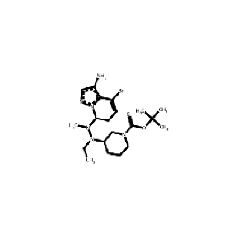 CCN(C1CCCN(C(=O)OC(C)(C)C)C1)N(C)C1CC=C(Br)c2c(N)cnn21